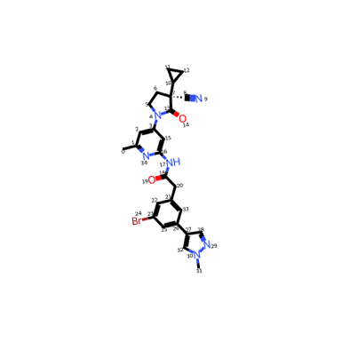 Cc1cc(N2CC[C@@](C#N)(C3CC3)C2=O)cc(NC(=O)Cc2cc(Br)cc(-c3cnn(C)c3)c2)n1